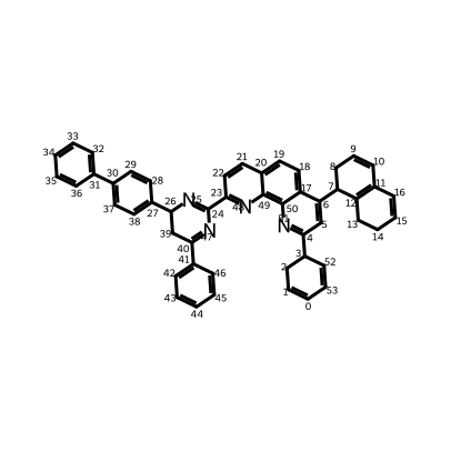 C1=CCC(c2cc(C3CC=CC4=C3CCC=C4)c3ccc4ccc(C5=NC(c6ccc(-c7ccccc7)cc6)CC(c6ccccc6)=N5)nc4c3n2)C=C1